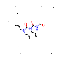 C=CCN(CC=C)C(=O)N(CC=C)C(=O)NC=O